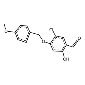 COc1ccc(COc2cc(O)c(C=O)cc2Cl)cc1